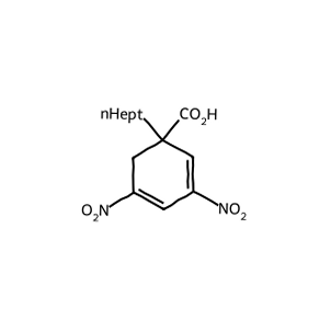 CCCCCCCC1(C(=O)O)C=C([N+](=O)[O-])C=C([N+](=O)[O-])C1